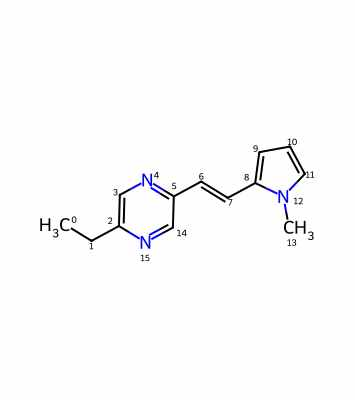 CCc1cnc(/C=C/c2cccn2C)cn1